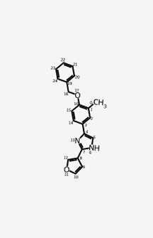 Cc1cc(-c2c[nH]c(-c3ccoc3)n2)ccc1OCc1ccccc1